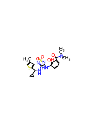 Cc1csc([C@H](NC2=NS(=O)(=O)N=C2Nc2cccc(C(=O)N(C)C)c2O)C2CC2)c1